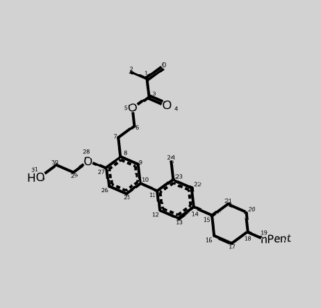 C=C(C)C(=O)OCCc1cc(-c2ccc(C3CCC(CCCCC)CC3)cc2C)ccc1OCCO